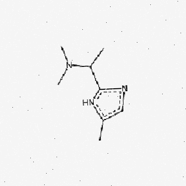 Cc1cnc(C(C)N(C)C)[nH]1